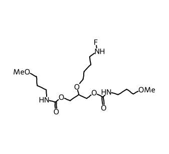 COCCCNC(=O)OCC(COC(=O)NCCCOC)OCCCCNF